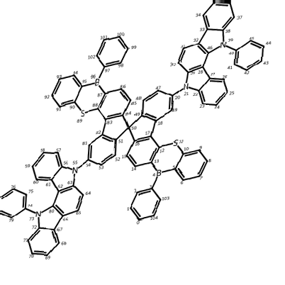 c1ccc(B2c3ccccc3Sc3c2ccc2c3-c3cc(-n4c5ccccc5c5c4ccc4c6ccccc6n(-c6ccccc6)c45)ccc3C23c2ccc(-n4c5ccccc5c5c4ccc4c6ccccc6n(-c6ccccc6)c45)cc2-c2c3ccc3c2Sc2ccccc2B3c2ccccc2)cc1